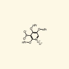 CCCOc1cnc(OCCC)c(B([O-])[O-])c1OCCC.[Li+].[Li+]